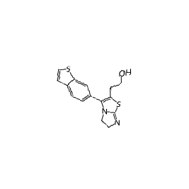 OCCC1=C(c2ccc3ccsc3c2)N2CCN=C2S1